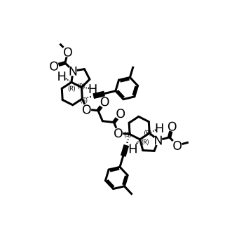 COC(=O)N1CC[C@@H]2[C@H]1CCC[C@]2(C#Cc1cccc(C)c1)OC(=O)CC(=O)O[C@@]1(C#Cc2cccc(C)c2)CCC[C@@H]2[C@H]1CCN2C(=O)OC